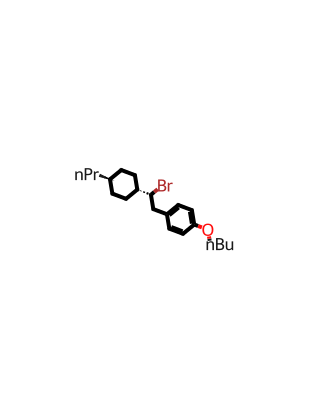 CCCCOc1ccc(CC(Br)[C@H]2CC[C@H](CCC)CC2)cc1